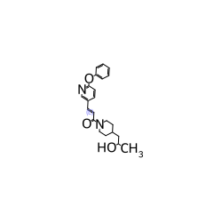 CC(O)CC1CCN(C(=O)/C=C/c2ccc(Oc3ccccc3)nc2)CC1